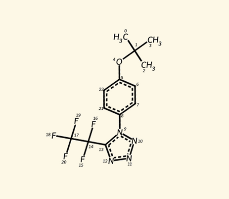 CC(C)(C)Oc1ccc(-n2nnnc2C(F)(F)C(F)(F)F)cc1